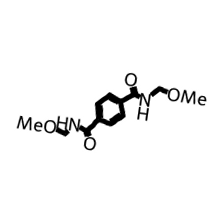 COCNC(=O)c1ccc(C(=O)NCOC)cc1